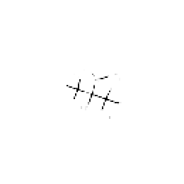 FC(F)(F)N(C(F)(F)F)C(F)(C(F)(C(F)(F)F)C(F)(F)F)C(F)(C(F)(F)F)C(F)(F)F